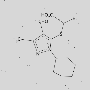 CCC(Sc1c(C=O)c(C)nn1C1CCCCC1)C(=O)O